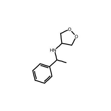 CC(NC1COOC1)c1ccccc1